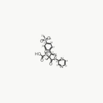 CC1(N(O)C(=O)O)C(=O)N(c2cnccn2)N=C1c1ccc(S(C)(=O)=O)cc1